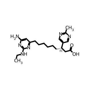 CCNc1nc(N)cc(CCCCCC[C@@H](CC(=O)O)c2cnc(C)nc2)n1